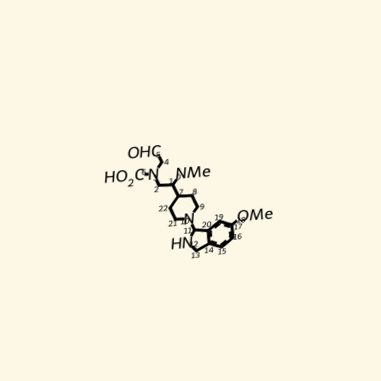 CNC(CN(CC=O)C(=O)O)C1CCN(C2NCc3ccc(OC)cc32)CC1